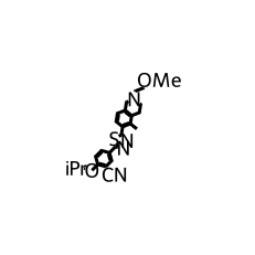 COCCN1CCc2c(ccc(-c3nnc(-c4ccc(OC(C)C)c(C#N)c4)s3)c2C)C1